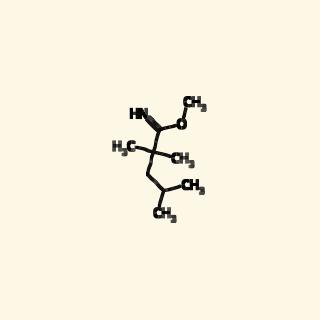 COC(=N)C(C)(C)CC(C)C